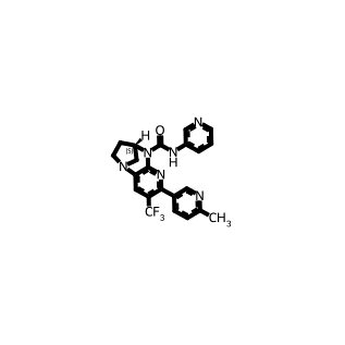 Cc1ccc(-c2nc3c(cc2C(F)(F)F)N2CC[C@@H](C2)N3C(=O)Nc2cccnc2)cn1